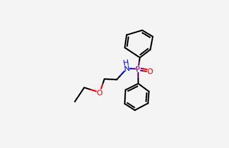 CCOCCNP(=O)(c1ccccc1)c1ccccc1